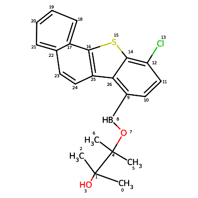 CC(C)(O)C(C)(C)OBc1ccc(Cl)c2sc3c4ccccc4ccc3c12